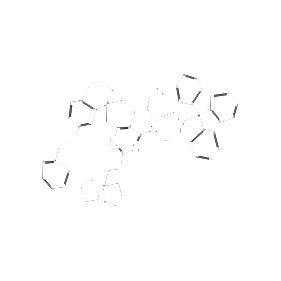 N#CC[C@H]1CN(C(c2ccccc2)(c2ccccc2)c2ccccc2)CCN1c1nc(OCC23CCCN2CCC3)nc2c1CCC1(CCCc3ccc(OCc4ccccc4)cc31)C2